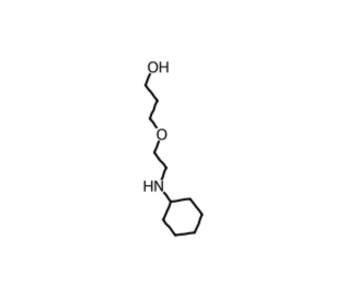 OCCCOCCNC1CCCCC1